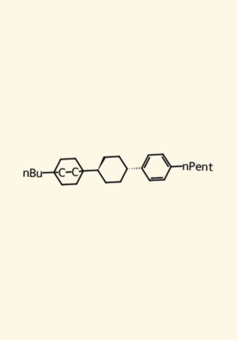 CCCCCc1ccc([C@H]2CC[C@H](C34CCC(CCCC)(CC3)CC4)CC2)cc1